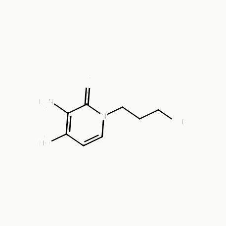 CCCCn1ccc(O)c(N)c1=O